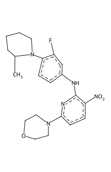 CC1CCCCN1c1ccc(Nc2nc(N3CCOCC3)ccc2[N+](=O)[O-])cc1F